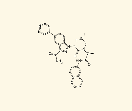 C[C@@H](F)CN(C(=O)Cn1nc(C(N)=O)c2cc(-c3ccnnc3)ccc21)[C@@H](C)C(=O)Nc1ccc2ccccc2c1